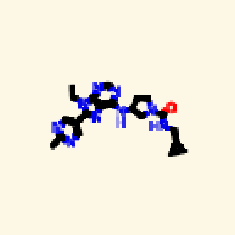 CCn1c(-c2cnc(C)nc2)nc2c(N[C@H]3CCN(C(=O)NCC4CC4)C3)ncnc21